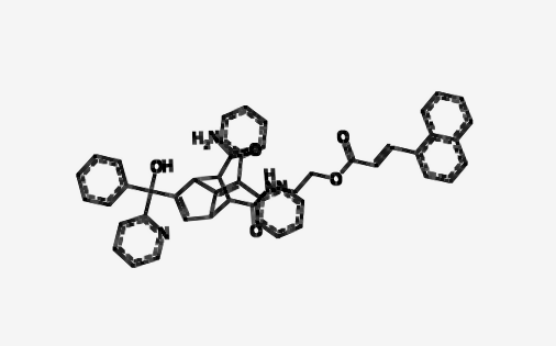 NC(=O)C1C2C(C(O)(c3ccccc3)c3ccccn3)=CC(C2=C(c2ccccc2)c2ccccn2)C1C(=O)NCCOC(=O)C=Cc1cccc2ccccc12